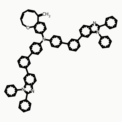 C=C1/C=C\C=C/COc2cc(N(c3ccc(-c4cccc(-c5ccc6nc(-c7ccccc7)n(-c7ccccc7)c6c5)c4)cc3)c3ccc(-c4cccc(-c5ccc6nc(-c7ccccc7)n(-c7ccccc7)c6c5)c4)cc3)ccc21